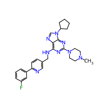 CN1CCN(c2nc(NCc3ccc(-c4cccc(F)c4)nc3)c3ncn(C4CCCC4)c3n2)CC1